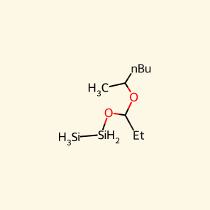 CCCCC(C)OC(CC)O[SiH2][SiH3]